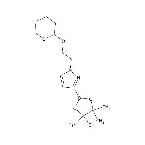 CC1(C)OB(c2ccn(CCOC3CCCCO3)n2)OC1(C)C